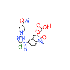 CN(C)C(=O)C1CCN(c2ncc(Cl)c(Nc3ccc4c(c3)cc(OCC(=O)O)c(=O)n4C)n2)CC1